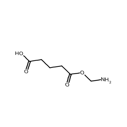 NCOC(=O)CCCC(=O)O